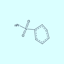 CCCS(=O)(=O)c1ccccc1